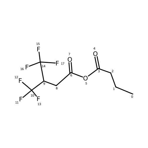 CCCC(=O)OC(=O)CC(C(F)(F)F)C(F)(F)F